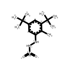 Cc1c(NN[SH](=O)=O)cc(C(C)(C)C)cc1C(C)(C)C